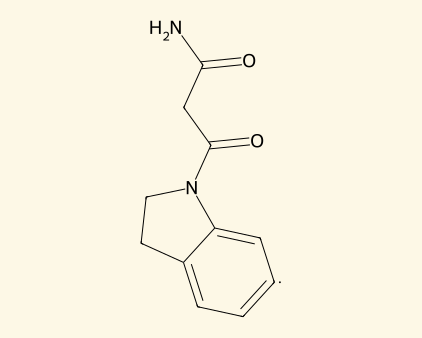 NC(=O)CC(=O)N1CCc2cc[c]cc21